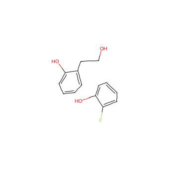 OCCc1ccccc1O.Oc1ccccc1F